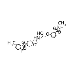 CCNS(=O)(=O)c1cccc(OC[C@@H](O)CNC2COC3(CCN(S(=O)(=O)c4cc(C)ccc4F)CC3)C2)c1